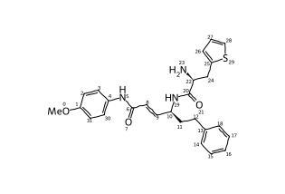 COc1ccc(NC(=O)C=C[C@H](CCc2ccccc2)NC(=O)[C@@H](N)Cc2cccs2)cc1